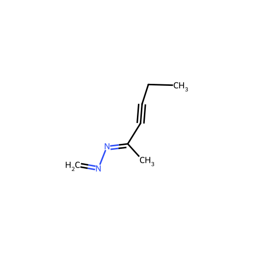 C=N/N=C(\C)C#CCC